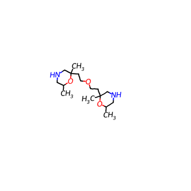 CC1CNCC(C)(CCOCCC2(C)CNCC(C)O2)O1